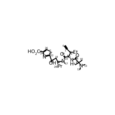 C#C[C@@H](CC)[C@H](NC(=O)C(C)(C)N(C)C)C(=O)N(C)[C@H](C[C@@H](O)c1nc(C(=O)O)cs1)C(C)C